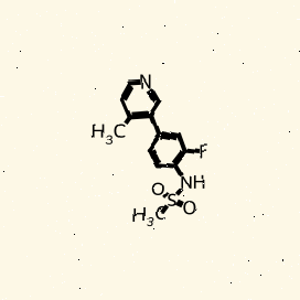 Cc1ccncc1-c1ccc(NS(C)(=O)=O)c(F)c1